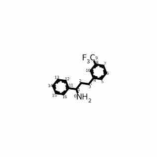 NC(C[CH]c1cccc(C(F)(F)F)c1)c1ccccc1